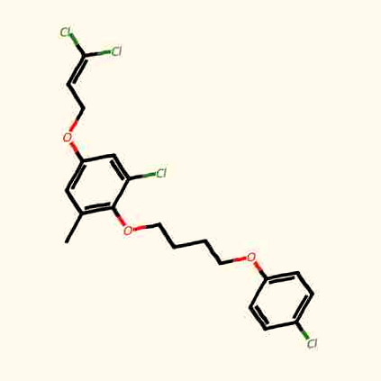 Cc1cc(OCC=C(Cl)Cl)cc(Cl)c1OCCCCOc1ccc(Cl)cc1